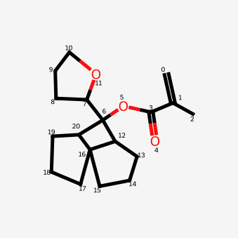 C=C(C)C(=O)OC1(C2CCCO2)C2CCCC23CCCC31